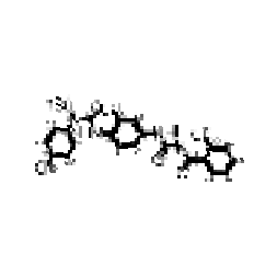 CCCCN(C(=O)Nc1ccc(NC(=O)NC(=O)c2ccccc2Cl)cc1Cl)c1ccc(Cl)cc1